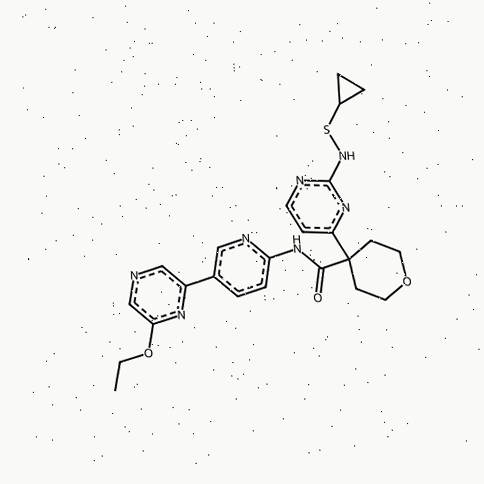 CCOc1cncc(-c2ccc(NC(=O)C3(c4ccnc(NSC5CC5)n4)CCOCC3)nc2)n1